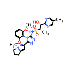 COc1cccc(OC)c1-n1c(NS(=O)(=O)[C@@H](C)[C@H](O)c2ncc(C)cn2)nnc1-c1cc2n(n1)CCC2